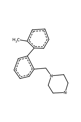 Cc1ccccc1-c1ccccc1CN1CC[N]CC1